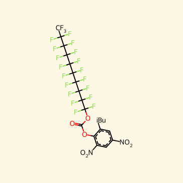 CCC(C)c1cc([N+](=O)[O-])cc([N+](=O)[O-])c1OC(=O)OC(F)(F)C(F)(F)C(F)(F)C(F)(F)C(F)(F)C(F)(F)C(F)(F)C(F)(F)C(F)(F)C(F)(F)F